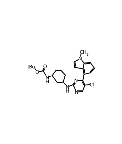 Cn1ccc2c(-c3nc(N[C@@H]4CCC[C@H](NC(=O)OC(C)(C)C)C4)ncc3Cl)cccc21